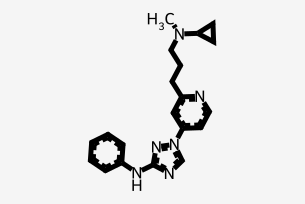 CN(CCCc1cc(-n2cnc(Nc3ccccc3)n2)ccn1)C1CC1